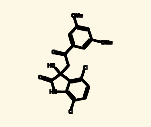 COc1cc(OC)cc(C(=O)CC2(O)C(=O)Nc3c(Cl)ccc(Cl)c32)c1